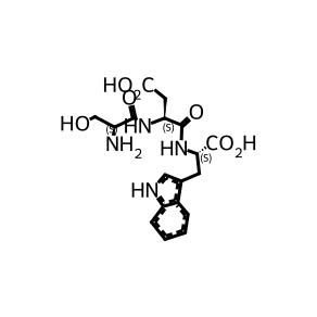 N[C@@H](CO)C(=O)N[C@@H](CC(=O)O)C(=O)N[C@@H](Cc1c[nH]c2ccccc12)C(=O)O